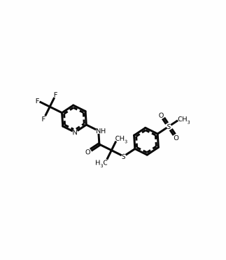 CC(C)(Sc1ccc(S(C)(=O)=O)cc1)C(=O)Nc1ccc(C(F)(F)F)cn1